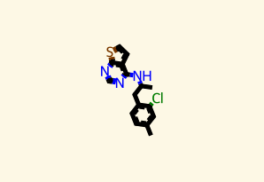 Cc1ccc(CC(C)Nc2ncnc3sccc23)c(Cl)c1